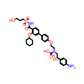 Nc1ccc([C@H](O)CN(CCOc2ccc(-c3ccc(C(=O)NS(=O)(=O)CCCO)c(OC4CCCCC4)c3)cc2)C(=O)O)cc1